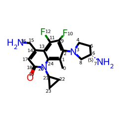 Cc1c(N2CC[C@H](N)C2)c(F)c(F)c2c(CN)cc(=O)n(C3CC3)c12